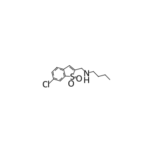 CCCCNCC1=Cc2ccc(Cl)cc2S1(=O)=O